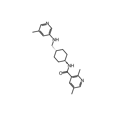 Cc1cncc(NC[C@H]2CC[C@H](NC(=O)c3cc(C)cnc3C)CC2)c1